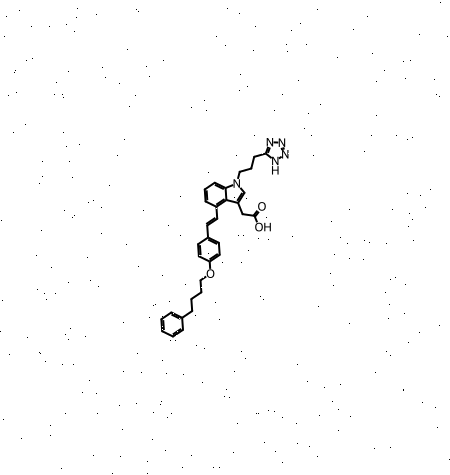 O=C(O)Cc1cn(CCCc2nnn[nH]2)c2cccc(/C=C/c3ccc(OCCCCc4ccccc4)cc3)c12